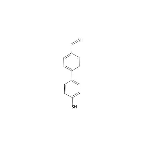 N=Cc1ccc(-c2ccc(S)cc2)cc1